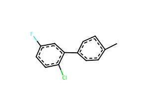 Cc1ccc(-c2cc(F)ccc2Cl)cc1